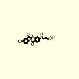 O=C1c2cc(Cl)ccc2-n2c1nc1cc(NCCCO)ccc1c2=O